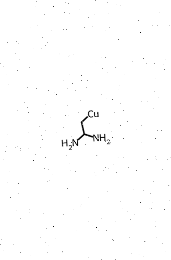 NC(N)[CH2][Cu]